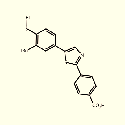 CCSc1ccc(-c2cnc(-c3ccc(C(=O)O)cc3)s2)cc1C(C)(C)C